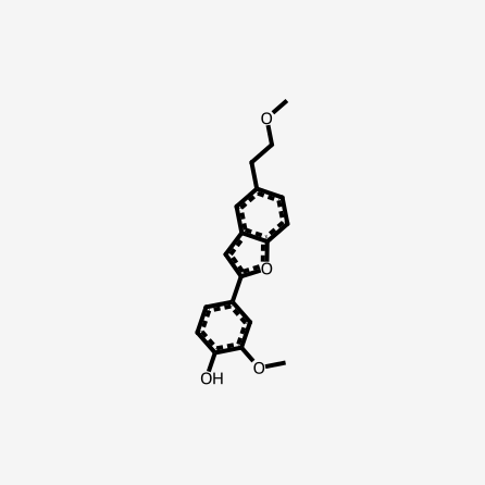 COCCc1ccc2oc(-c3ccc(O)c(OC)c3)cc2c1